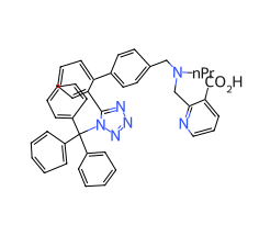 CCCN(Cc1ccc(-c2ccccc2-c2nnnn2C(c2ccccc2)(c2ccccc2)c2ccccc2)cc1)Cc1ncccc1C(=O)O